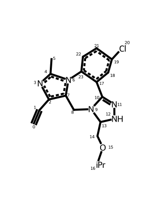 C#Cc1nc(C)n2c1CN1C(=NNC1COC(C)C)c1cc(Cl)ccc1-2